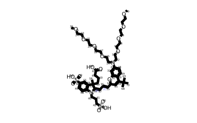 COCCOCCOCCOCCN(CCOCCOCCOCCOC)c1ccc2c(c1)OC(/C=C/C=C1/N(CCCS(=O)(=O)O)c3ccc(S(=O)(=O)O)cc3C1(C)CCCC(=O)O)C=C2C(C)(C)C